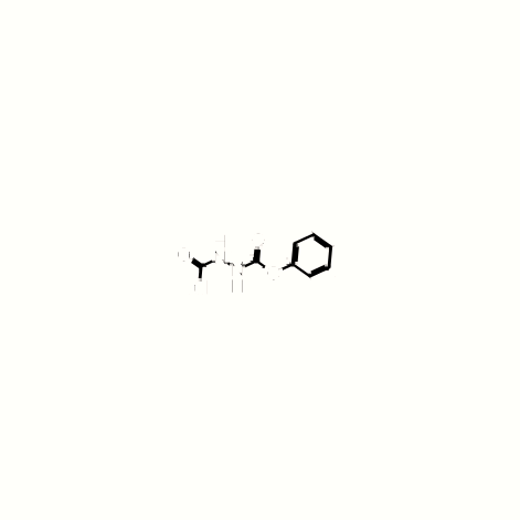 O=C(Cl)NNC(=O)Oc1ccccc1